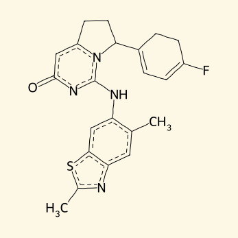 Cc1nc2cc(C)c(Nc3nc(=O)cc4n3C(C3=CC=C(F)CC3)CC4)cc2s1